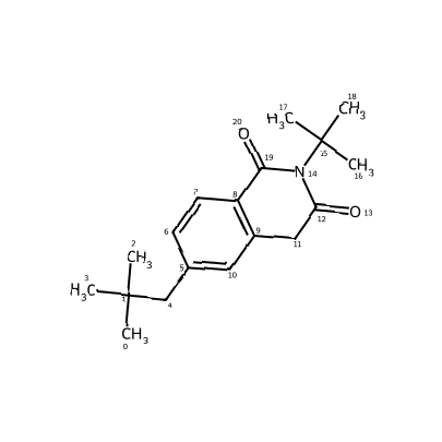 CC(C)(C)Cc1ccc2c(c1)CC(=O)N(C(C)(C)C)C2=O